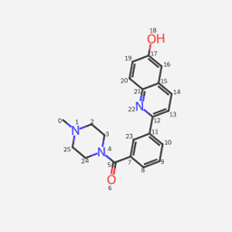 CN1CCN(C(=O)c2cccc(-c3ccc4cc(O)ccc4n3)c2)CC1